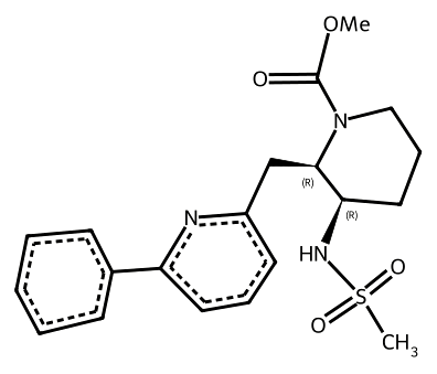 COC(=O)N1CCC[C@@H](NS(C)(=O)=O)[C@H]1Cc1cccc(-c2ccccc2)n1